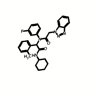 Cc1ccccc1C(C(=O)NC1CCCCC1)N(C(=O)Cn1nnc2ccccc21)c1cccc(F)c1